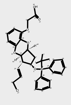 CC(C)(C)[Si](O[C@@H]1C[C@@H]2Oc3c(OCC(=O)O)cccc3O[C@@H]2[C@H]1/C=C/CCl)(c1ccccc1)c1ccccc1